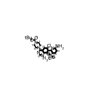 CC(C)(C)OC(=O)N1CCN(c2ncnc3cc(-c4nc(N)ccc4S(C)(=O)=O)c(Cl)cc23)CC1